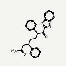 NC(=O)CC(CCC(C(=O)c1nc2ccccc2o1)c1ccccc1)c1ccccc1